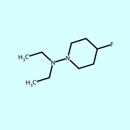 CCN(CC)N1CCC(F)CC1